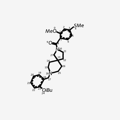 COc1cc(SC)ccc1C(=O)N1CCC2(CCN(Cc3ccccc3OCC(C)C)CC2)C1